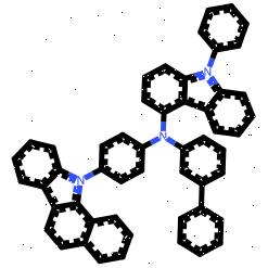 c1ccc(-c2cccc(N(c3ccc(-n4c5ccccc5c5ccc6ccccc6c54)cc3)c3cccc4c3c3ccccc3n4-c3ccccc3)c2)cc1